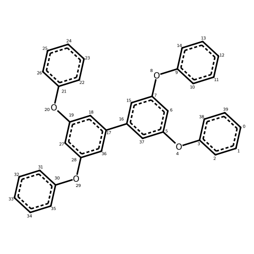 c1ccc(Oc2cc(Oc3ccccc3)cc(-c3cc(Oc4ccccc4)cc(Oc4ccccc4)c3)c2)cc1